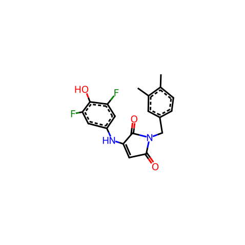 Cc1ccc(CN2C(=O)C=C(Nc3cc(F)c(O)c(F)c3)C2=O)cc1C